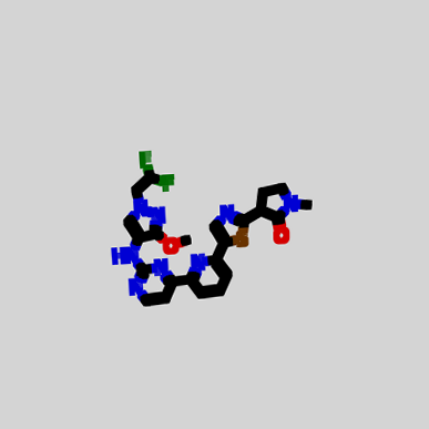 COc1nn(CC(F)F)cc1Nc1nccc(-c2cccc(-c3cnc(C4CCN(C)C4=O)s3)n2)n1